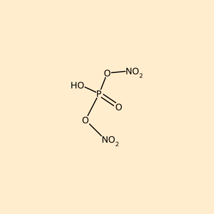 O=[N+]([O-])OP(=O)(O)O[N+](=O)[O-]